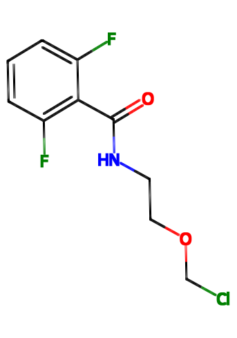 O=C(NCCOCCl)c1c(F)cccc1F